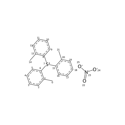 Cc1ccccc1[S+](c1ccccc1C)c1ccccc1C.O=[N+]([O-])[O-]